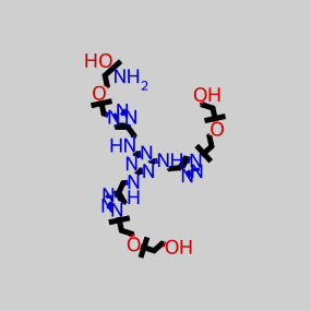 CC(N)(O)CCOC(C)(C)Cn1cc(CNc2nc(NCc3cn(C(C)(C)CCOC(C)(C)CCO)nn3)nc(NCc3cn(C(C)(C)CCOC(C)(C)CCO)nn3)n2)nn1